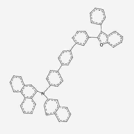 c1ccc(-c2c(-c3cccc(-c4ccc(-c5ccc(N(c6ccc7ccccc7c6)c6cc7ccccc7c7ccccc67)cc5)cc4)c3)oc3ccccc23)cc1